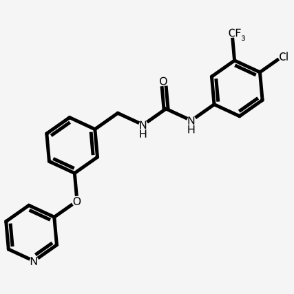 O=C(NCc1cccc(Oc2cccnc2)c1)Nc1ccc(Cl)c(C(F)(F)F)c1